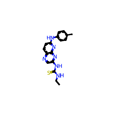 CCNC(=S)Nc1cnc2ccc(Nc3ccc(C)cc3)nc2n1